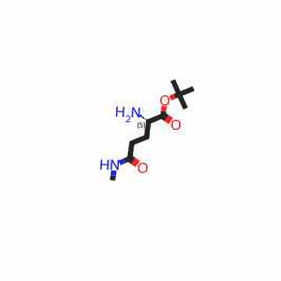 CNC(=O)CC[C@H](N)C(=O)OC(C)(C)C